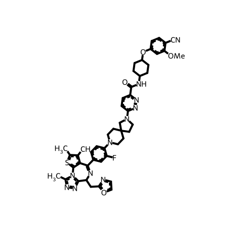 COc1cc(OC2CCC(NC(=O)c3ccc(N4CCC5(CCN(c6ccc(C7=NC(Cc8ncco8)c8nnc(C)n8-c8sc(C)c(C)c87)cc6F)CC5)C4)nn3)CC2)ccc1C#N